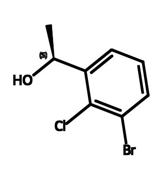 C[C@H](O)c1cccc(Br)c1Cl